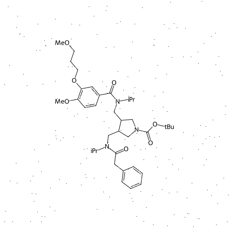 COCCCOc1cc(C(=O)N(CC2CN(C(=O)OC(C)(C)C)CC2CN(C(=O)Cc2ccccc2)C(C)C)C(C)C)ccc1OC